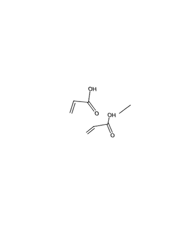 C=CC(=O)O.C=CC(=O)O.CC